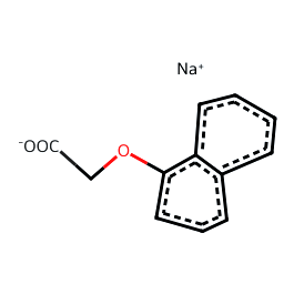 O=C([O-])COc1cccc2ccccc12.[Na+]